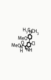 CONC(=O)c1c[nH]c2cc(Cl)c(-c3ccc(N(C)C)cc3OC)cc12